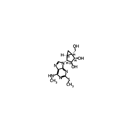 CNc1nc(SC)nc2c1ncn2[C@H]1[C@H](O)[C@H](O)[C@]2(CO)C[C@H]12